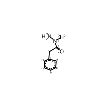 [2H]N(N)C(=O)Cc1ccccc1